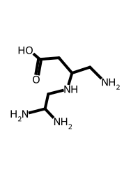 NCC(CC(=O)O)NCC(N)N